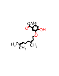 COC(=O)c1ccc(O)c(OCC=C(C)CCC=C(C)C)c1